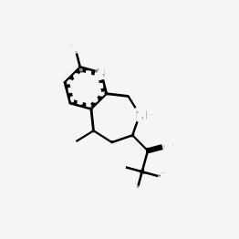 CC1CC(C(=O)C(F)(F)F)NCc2nc(Cl)ccc21